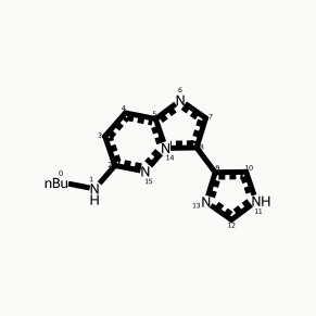 CCCCNc1ccc2ncc(-c3c[nH]cn3)n2n1